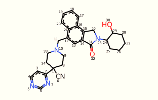 N#CC1(c2ccncn2)CCN(Cc2cc3c(c4ccccc24)CN(C2CCCCC2O)C3=O)CC1